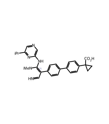 CN/C(Nc1cncc(C(C)C)n1)=C(\C=N)c1ccc(-c2ccc(C3(C(=O)O)CC3)cc2)cc1